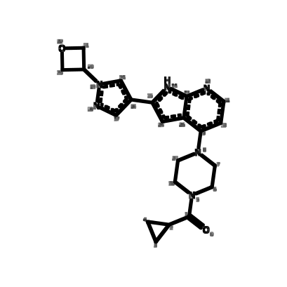 O=C(C1CC1)N1CCN(c2ccnc3[nH]c(-c4cnn(C5COC5)c4)cc23)CC1